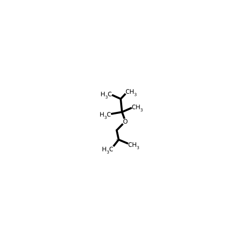 C[C](C)COC(C)(C)C(C)C